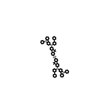 CC1(C)c2cc(N(c3cccc(-c4ccccc4)c3)c3ccc4c(c3)c3ccccc3n4-c3ccccc3)ccc2-c2ccc([Si](C)(C)c3ccc4c(c3)C(C)(C)c3cc(N(c5cccc(-c6ccccc6)c5)c5ccc6c(c5)c5ccccc5n6-c5ccccc5)ccc3-4)cc21